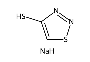 Sc1csnn1.[NaH]